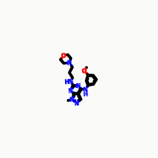 COc1cccc(Nc2nc(NCCCN3CCOCC3)nc3c2cnn3C)c1